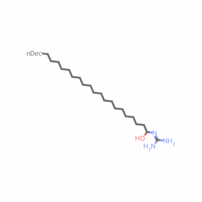 CCCCCCCCCCCCCCCCCCCCCCCCCCCCCC(O)N=C(N)N